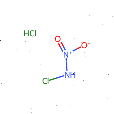 Cl.O=[N+]([O-])NCl